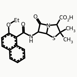 CCOc1ccc2ccccc2c1C(=O)NC1C(=O)N2C1SC(C)(C)C2C(=O)O